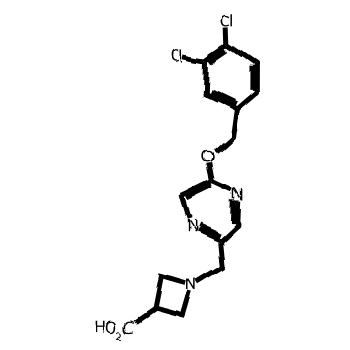 O=C(O)C1CN(Cc2cnc(OCc3ccc(Cl)c(Cl)c3)cn2)C1